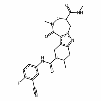 CNC(=O)C1Cn2nc3c(c2C(=O)N(C)O1)CN(C(=O)Nc1ccc(F)c(C#N)c1)C(C)C3